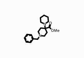 COC(=O)C1(N2CCCCC2)CCN(Cc2ccccc2)CC1